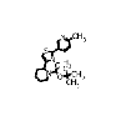 Cc1ccc(-c2nc(C3CCCCN3C(=O)OC(C)(C)C)cs2)cn1